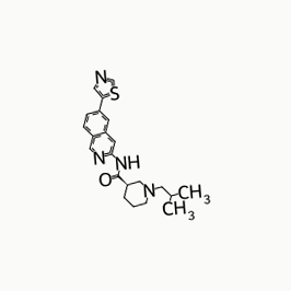 CC(C)CN1CCC[C@@H](C(=O)Nc2cc3cc(-c4cncs4)ccc3cn2)C1